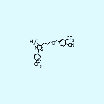 Cc1nc(-c2ccc(C(F)(F)F)nc2)sc1CCCOCc1ccc(C#N)c(C(F)(F)F)c1